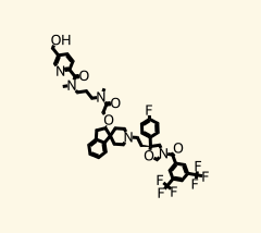 CN(CCCN(C)C(=O)c1ccc(CO)cn1)C(=O)CO[C@H]1Cc2ccccc2C12CCN(CC[C@@]1(c3ccc(F)cc3)CN(C(=O)c3cc(C(F)(F)F)cc(C(F)(F)F)c3)CO1)CC2